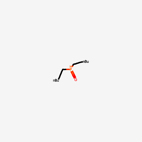 CCCCC[PH](=O)CCCCC